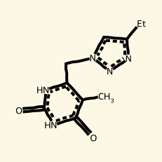 CCc1cn(Cc2[nH]c(=O)[nH]c(=O)c2C)nn1